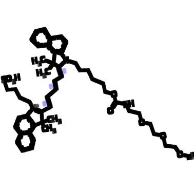 CCCOCCOCCOCCNC(=O)OCCCCCCN1/C(=C/C=C/C=C/C2=[N+](CCCCS(=O)(=O)O)c3ccc4ccccc4c3C2(C)C)C(C)(C)c2c1ccc1ccccc21